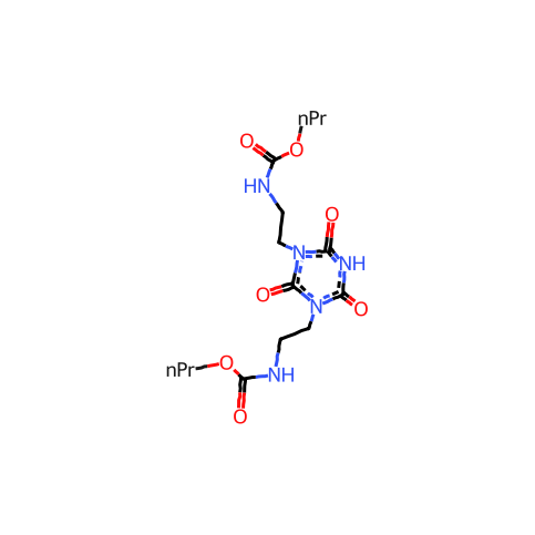 CCCOC(=O)NCCn1c(=O)[nH]c(=O)n(CCNC(=O)OCCC)c1=O